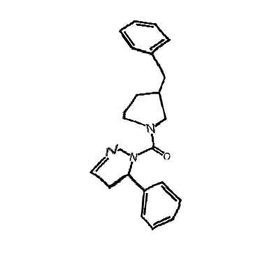 O=C(N1CCC(Cc2ccccc2)C1)N1N=CCC1c1ccccc1